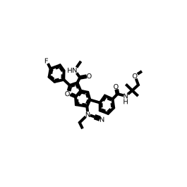 CCN(C#N)c1cc2oc(-c3ccc(F)cc3)c(C(=O)NC)c2cc1-c1cccc(C(=O)NC(C)(C)COC)c1